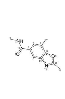 CNC(=O)c1cc(C)c2oc(C)nc2c1